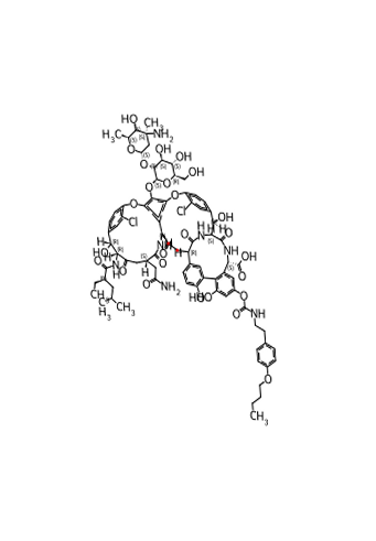 CCCCOc1ccc(CCNC(=O)Oc2cc(O)c3c(c2)[C@@H](C(=O)O)NC(=O)[C@H]2NC(=O)[C@H](CC(=O)[C@@H]4NC(=O)[C@H](CC(N)=O)CC(=O)[C@H](NC(=O)[C@H](CC)CC(C)C)[C@H](O)c5ccc(c(Cl)c5)Oc5cc4cc(c5O[C@@H]4O[C@H](CO)[C@@H](O)[C@H](O)[C@H]4O[C@H]4C[C@](C)(N)[C@H](O)[C@H](C)O4)Oc4ccc(cc4Cl)[C@H]2O)c2ccc(O)c-3c2)cc1